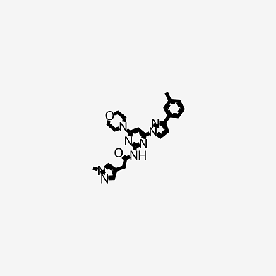 Cc1cccc(-c2ccn(-c3cc(N4CCOCC4)nc(NC(=O)Cc4cnn(C)c4)n3)n2)c1